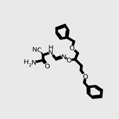 N#C[C@@H](NC=NOC(CCOCc1ccccc1)COCc1ccccc1)C(N)=O